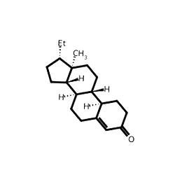 CC[C@H]1CC[C@H]2[C@@H]3CCC4=CC(=O)CC[C@@H]4[C@H]3CC[C@]12C